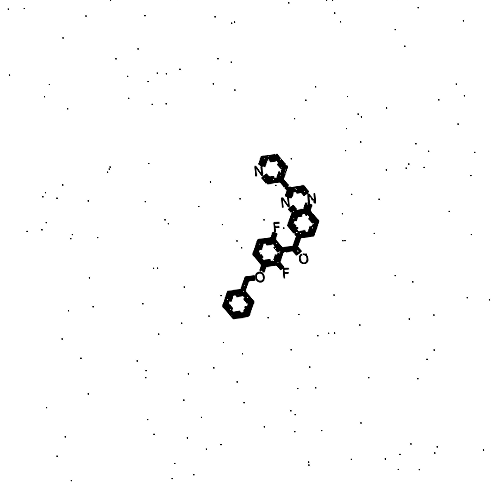 O=C(c1ccc2ncc(-c3cccnc3)nc2c1)c1c(F)ccc(OCc2ccccc2)c1F